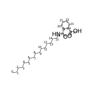 CCCCCCCCCCCCCCCCNC(=O)c1ccccc1C(=O)O